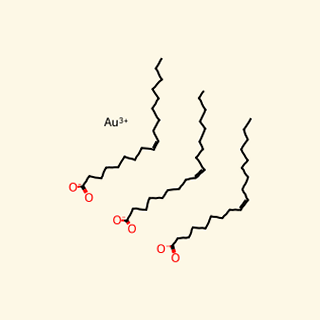 CCCCCCCC/C=C\CCCCCCCC(=O)[O-].CCCCCCCC/C=C\CCCCCCCC(=O)[O-].CCCCCCCC/C=C\CCCCCCCC(=O)[O-].[Au+3]